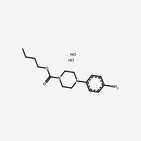 CCCCOC(=O)N1CCN(c2ccc(N)cc2)CC1.Cl.Cl